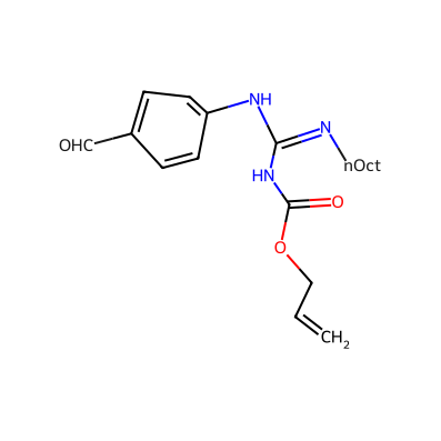 C=CCOC(=O)N/C(=N\CCCCCCCC)Nc1ccc(C=O)cc1